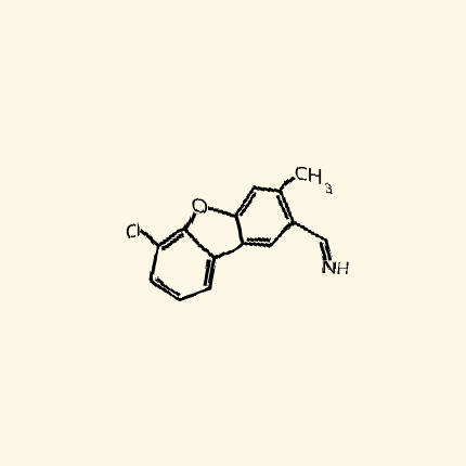 Cc1cc2oc3c(Cl)cccc3c2cc1C=N